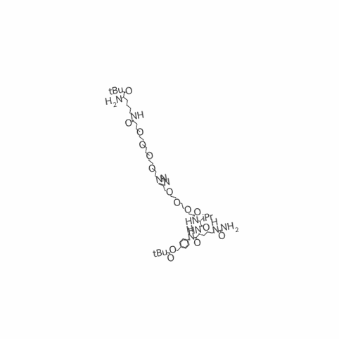 CC(C)[C@H](NC(=O)COCCOCCOCc1cn(CCOCCOCCOCCOCCC(=O)NCCCC[C@@H](N)C(=O)C(C)(C)C)nn1)C(=O)N[C@@H](CCCNC(N)=O)C(=O)Nc1ccc(COC(=O)C(C)(C)C)cc1